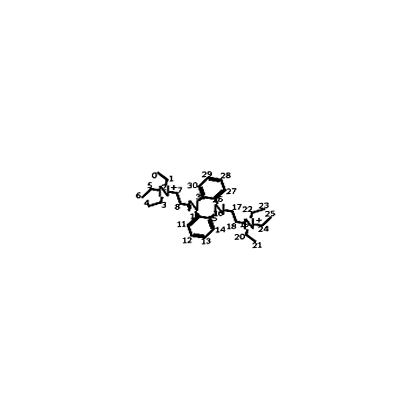 CC[N+](CC)(CC)CCN1c2ccccc2N(CC[N+](CC)(CC)CC)c2ccccc21